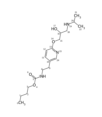 CCCCOC(=O)NCCc1ccc(OCC(O)CNC(C)C)nc1